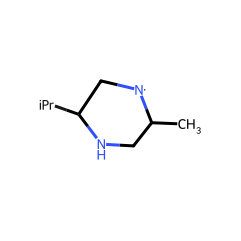 CC1CNC(C(C)C)C[N]1